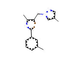 CCc1cnn(Cc2sc(-c3cccc(C)c3)nc2C)c1